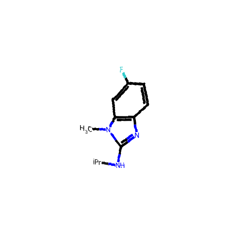 CC(C)Nc1nc2ccc(F)cc2n1C